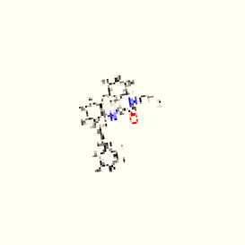 CN1C(=O)/C(=N/c2ccccc2C#Cc2ccccc2)c2ccccc21